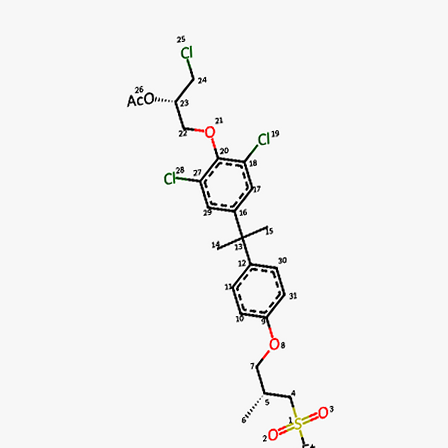 CCS(=O)(=O)C[C@H](C)COc1ccc(C(C)(C)c2cc(Cl)c(OC[C@@H](CCl)OC(C)=O)c(Cl)c2)cc1